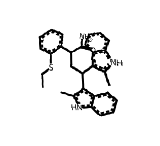 CCSc1ccccc1C(CC(c1c(C)[nH]c2ccccc12)c1c(C)[nH]c2ccccc12)C(N)=O